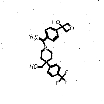 C=C(c1ccc(C2(O)COC2)cc1)N1CCC(CO)(c2ccc(C(F)(F)F)cc2)CC1